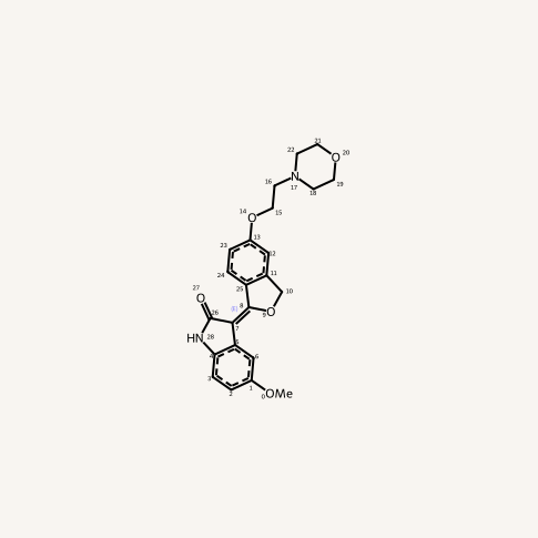 COc1ccc2c(c1)/C(=C1\OCc3cc(OCCN4CCOCC4)ccc31)C(=O)N2